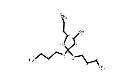 CCCCOC(CCO)(OCCCC)OCCCC